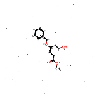 COC(=O)CCC(CCO)OCc1ccccc1